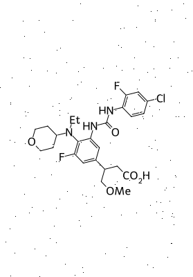 CCN(c1c(F)cc(C(COC)CC(=O)O)cc1NC(=O)Nc1ccc(Cl)cc1F)C1CCOCC1